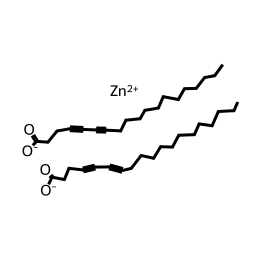 CCCCCCCCCCCCC#CC#CCCC(=O)[O-].CCCCCCCCCCCCC#CC#CCCC(=O)[O-].[Zn+2]